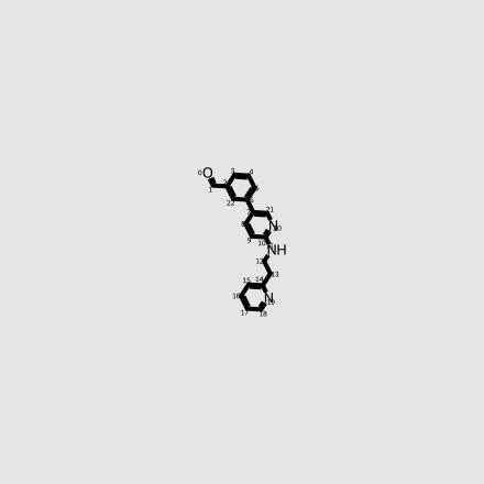 O=Cc1cccc(-c2ccc(NCCc3ccccn3)nc2)c1